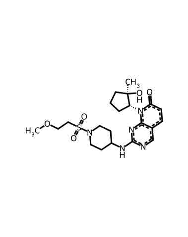 COCCS(=O)(=O)N1CCC(Nc2ncc3ccc(=O)n([C@@H]4CCC[C@@]4(C)O)c3n2)CC1